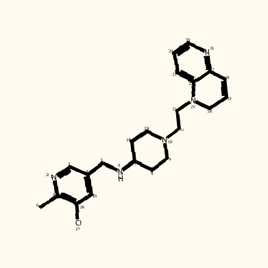 Cc1ncc(CNC2CCN(CCN3CC=Cc4ncccc43)CC2)cc1Cl